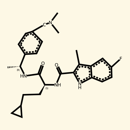 Cc1c(C(=O)N[C@@H](CCC2CC2)C(=O)N[C@H](C)c2ccc(CN(C)C)cc2)[nH]c2ccc(F)cc12